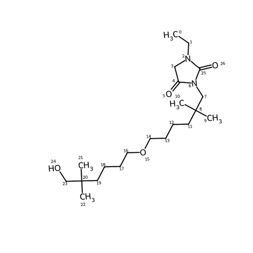 CCN1CC(=O)N(CC(C)(C)CCCCOCCCCC(C)(C)CO)C1=O